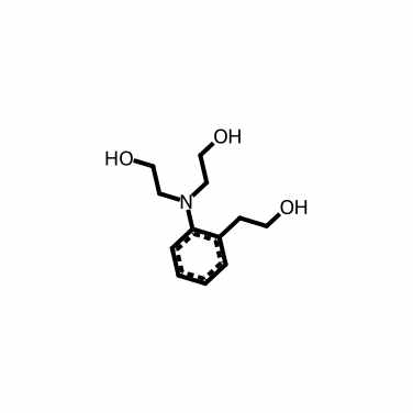 OCCc1ccccc1N(CCO)CCO